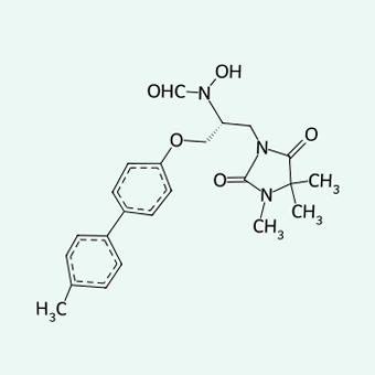 Cc1ccc(-c2ccc(OC[C@@H](CN3C(=O)N(C)C(C)(C)C3=O)N(O)C=O)cc2)cc1